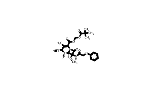 COC1(NC(=O)COc2ccccc2)C(=O)N2C(C(=O)OCOC(=O)C(C)(C)C)=C(C)C(=[N+]=[N-])[S+]([O-])[C@@H]21